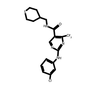 O=C(NCC1CCSCC1)c1cnc(Nc2cccc(Cl)c2)nc1C(F)(F)F